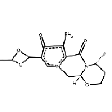 Bc1c2n(cc(C3OC(C)O3)c1=O)C[C@@H]1OCC[C@@H](C)N1C2=O